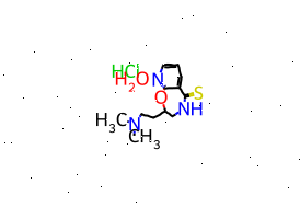 CN(C)CCC1CNC(=S)c2cccnc2O1.Cl.O